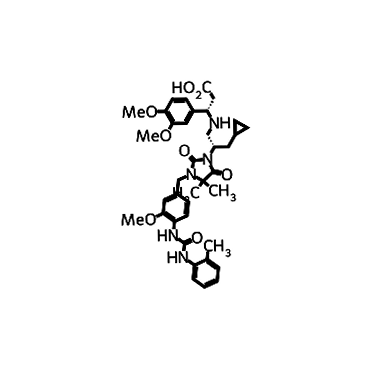 COc1cc(CN2C(=O)N([C@H](CN[C@@H](CC(=O)O)c3ccc(OC)c(OC)c3)CC3CC3)C(=O)C2(C)C)ccc1NC(=O)Nc1ccccc1C